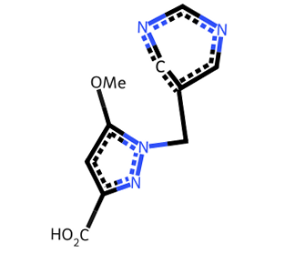 COc1cc(C(=O)O)nn1Cc1cncnc1